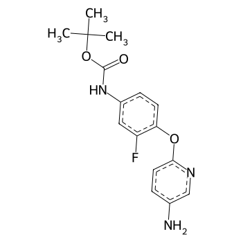 CC(C)(C)OC(=O)Nc1ccc(Oc2ccc(N)cn2)c(F)c1